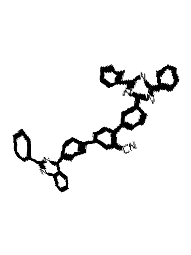 N#Cc1cc(-c2ccc(-c3nc(C4=CCCCC4)nc4ccccc34)cc2)ccc1-c1cccc(-c2nc(-c3ccccc3)nc(-c3ccccc3)n2)c1